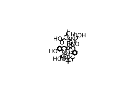 CC(C)N[C@@H](CCC(=O)O)C(=O)N[C@@H](CC(=O)O)C(=O)N[C@@H](Cc1ccccc1)C(=O)N[C@H]1Cc2ccc(O)cc2N([C@@H](CC(=O)O)C(=O)N[C@H](C(=O)C(C)C)C(C)(C)C)C1=O